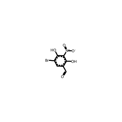 O=Cc1cc(Br)c(O)c([N+](=O)[O-])c1O